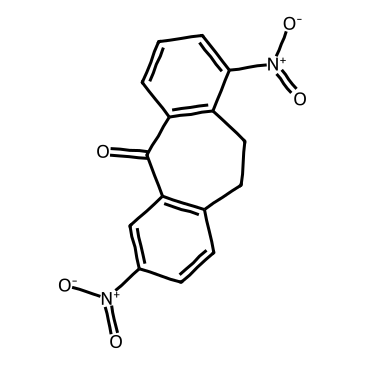 O=C1c2cc([N+](=O)[O-])ccc2CCc2c1cccc2[N+](=O)[O-]